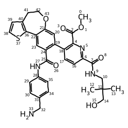 COC(=O)c1nc(C(=O)NCC(C)(C)CO)ccc1-c1cc2c(cc1C(=O)Nc1ccc(CN)cc1)-c1sccc1CCO2